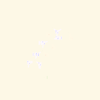 CC(=O)c1cccn1NS(=O)(=O)NC(=O)Nc1nc(C)cc(Cl)n1